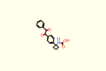 O=C(O)NC1(c2ccc(C(=O)C(=O)c3ccccc3)cc2)CCC1